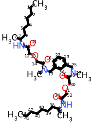 CCCCCCCC(C)NC(=O)COCC(=O)N(C)Cc1cccc(CN(C)C(=O)COCC(=O)NC(C)CCCCCCC)c1